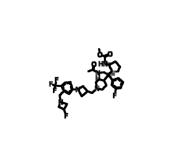 COC(=O)N[C@H]1CCC[C@@H]1[C@](CNC(C)=O)(c1cccc(F)c1)C1CCN(CC2CN(c3ccc(C(F)(F)F)c(CN4CC(F)C4)c3)C2)CC1